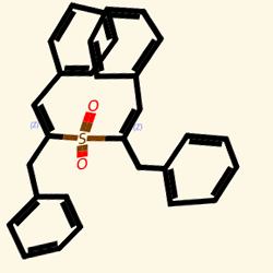 O=S(=O)(/C(=C\c1ccccc1)Cc1ccccc1)/C(=C\c1ccccc1)Cc1ccccc1